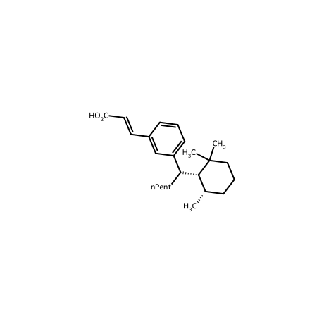 CCCCCC(c1cccc(C=CC(=O)O)c1)[C@H]1[C@@H](C)CCCC1(C)C